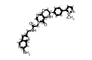 Cn1nccc1-c1ccc([C@@H]2COc3ncn(CC(=O)NCc4cc5cnc(N)cc5s4)c(=O)c3N2)cc1